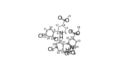 COC(=O)C1CCNC(c2ccc(Cl)cc2Cl)C1.COC(=O)c1ccnc(-c2ccc(Cl)cc2Cl)c1.Cl.Cl